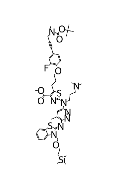 COC(=O)c1nc(N(CCCN(C)C)c2cc(C)c(/N=c3\sc4ccccc4n3COCC[Si](C)(C)C)nn2)sc1CCCOc1ccc(C#CCN(C)C(=O)OC(C)(C)C)cc1F